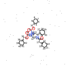 O=C(OCc1ccccc1)N1C2CC(CN(C(Cc3ccccc3)Oc3ccccc3)C2)N1C(=O)OCc1ccccc1